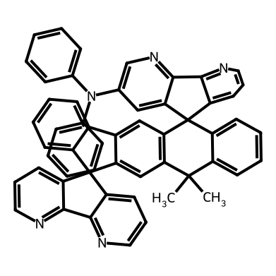 CC1(C)c2ccccc2C2(c3cc4c(cc31)C1(c3ccccc3-4)c3cccnc3-c3ncccc31)c1cccnc1-c1ncc(N(c3ccccc3)c3ccccc3)cc12